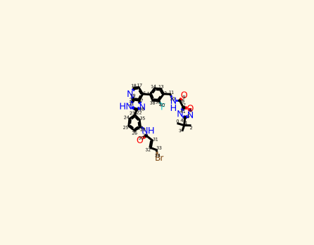 CC(C)(C)c1noc(C(=O)NCc2ccc(-c3ccnc4[nH]c(-c5cccc(NC(=O)/C=C/CBr)c5)nc34)cc2F)n1